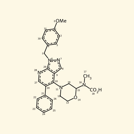 COc1ccc(Cn2ncc3c(N4CCOC(N(C)C(=O)O)C4)c(-c4ccccc4)cnc32)cc1